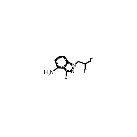 Nc1cccc2c1c(F)nn2CC(F)F